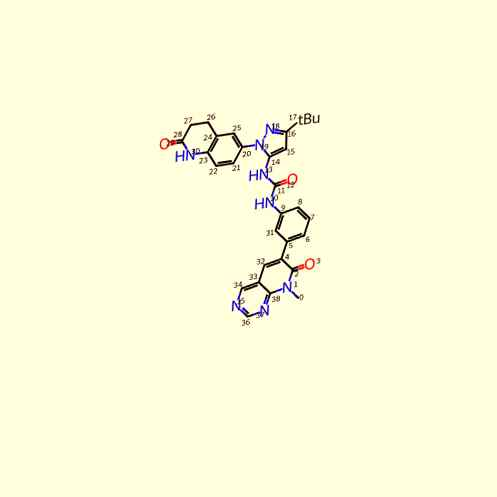 Cn1c(=O)c(-c2cccc(NC(=O)Nc3cc(C(C)(C)C)nn3-c3ccc4c(c3)CCC(=O)N4)c2)cc2cncnc21